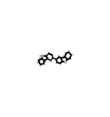 C1=CC(c2ccc3oc4ccccc4c3c2)Cc2c1[nH]c1ccccc21